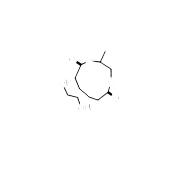 CC1COC(=O)CCCCC(=O)O1.OCCO